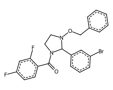 O=C(c1ccc(F)cc1F)N1CCN(OCc2ccccc2)C1c1cccc(Br)c1